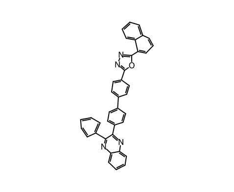 c1ccc(-c2nc3ccccc3nc2-c2ccc(-c3ccc(-c4nnc(-c5cccc6ccccc56)o4)cc3)cc2)cc1